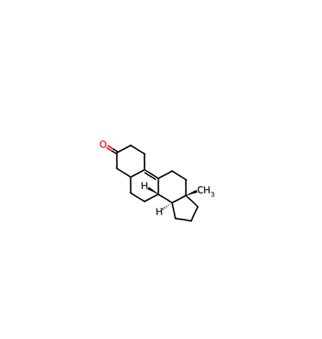 C[C@@]12CCC[C@H]1[C@@H]1CCC3CC(=O)CCC3=C1CC2